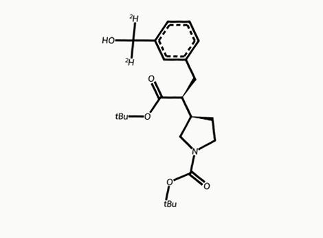 [2H]C([2H])(O)c1cccc(C[C@H](C(=O)OC(C)(C)C)[C@H]2CCN(C(=O)OC(C)(C)C)C2)c1